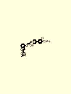 COc1ccc(C2CCN(C[C@H](O)COc3cccc4oc(-c5nnc(C)o5)cc34)CC2)cc1Cl